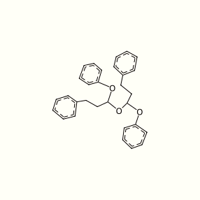 c1ccc(CCC(Oc2ccccc2)OC(CCc2ccccc2)Oc2ccccc2)cc1